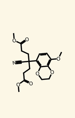 COC(=O)CCC(C#N)(CCC(=O)OC)c1ccc(OC)c2c1OCCO2